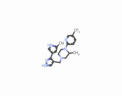 CC1CN(Cc2c[nH]nc2-c2c[nH]c(C#N)c2)CCN1c1ccc(C(F)(F)F)cn1